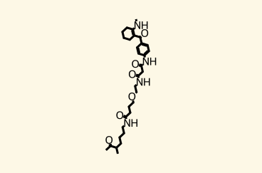 CNC1=C(C(=O)c2ccc(NC(=O)CC(=O)NCCOCCCC(=O)NCCCCC(C)C(C)=O)cc2)CCCC1